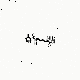 CC1CC=N[C@H]1C(=O)NCCCC[C@H](N)C(=O)O